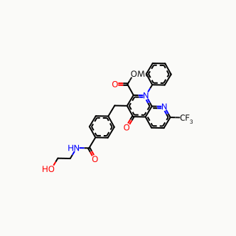 COC(=O)c1c(Cc2ccc(C(=O)NCCO)cc2)c(=O)c2ccc(C(F)(F)F)nc2n1-c1ccccc1